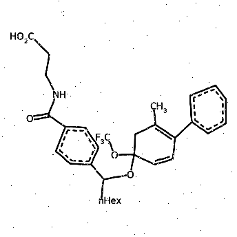 CCCCCCC(OC1(OC(F)(F)F)C=CC(c2ccccc2)=C(C)C1)c1ccc(C(=O)NCCC(=O)O)cc1